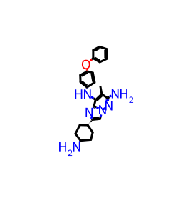 Cc1c(N)nn2cc([C@H]3CC[C@H](N)CC3)nc2c1Nc1ccc(Oc2ccccc2)cc1